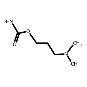 CN(C)CCCOC([NH])=O